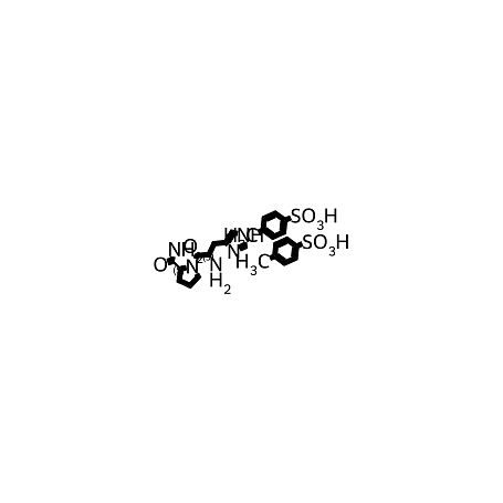 Cc1ccc(S(=O)(=O)O)cc1.Cc1ccc(S(=O)(=O)O)cc1.NC(=O)[C@@H]1CCCN1C(=O)[C@@H](N)Cc1c[nH]cn1